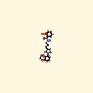 O=C(NCCCC1CCN(c2cccc3c2OCCO3)C1)c1ccccc1O